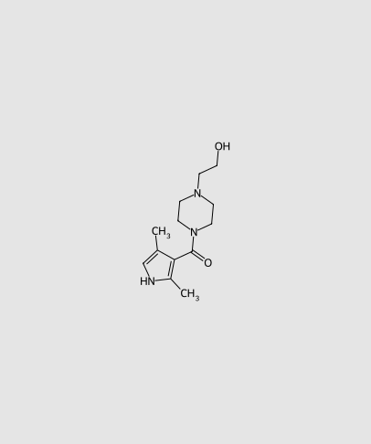 Cc1c[nH]c(C)c1C(=O)N1CCN(CCO)CC1